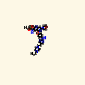 CN1CCN(CCc2cnc(N[C@H]3CC[C@@H](Oc4nc(N5CCOCC5)cc5ncc(NS(C)(=O)=O)cc45)CC3)nc2)CC1